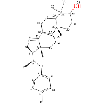 Cc1ccc(C[C@@H](C)[C@H]2CC=C3C4=C(CC[C@@]32C)[C@@]2(C)CCC(O)C(C)(C)C2CC4)cc1